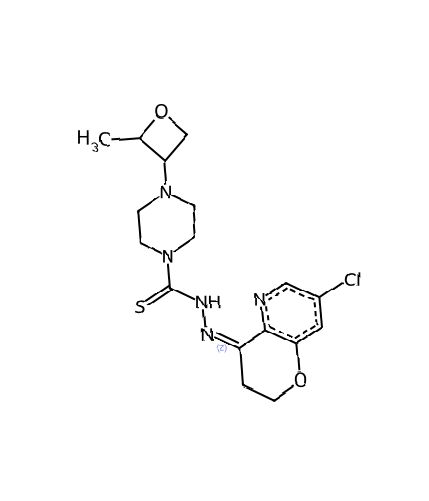 CC1OCC1N1CCN(C(=S)N/N=C2/CCOc3cc(Cl)cnc32)CC1